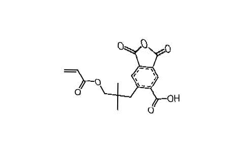 C=CC(=O)OCC(C)(C)Cc1cc2c(cc1C(=O)O)C(=O)OC2=O